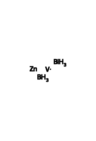 B.[BiH3].[V].[Zn]